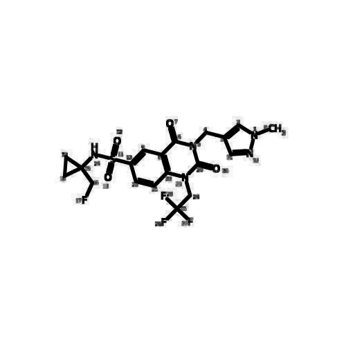 Cn1cc(Cn2c(=O)c3cc(S(=O)(=O)NC4(CF)CC4)ccc3n(CC(F)(F)F)c2=O)cn1